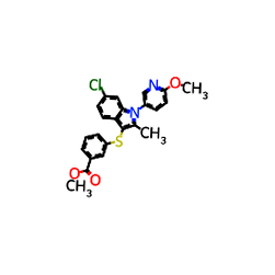 COC(=O)c1cccc(Sc2c(C)n(-c3ccc(OC)nc3)c3cc(Cl)ccc23)c1